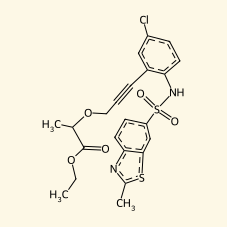 CCOC(=O)C(C)OCC#Cc1cc(Cl)ccc1NS(=O)(=O)c1ccc2nc(C)sc2c1